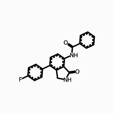 O=C(Nc1ccc(-c2ccc(F)cc2)c2c1C(=O)NC2)c1ccccc1